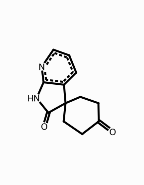 O=C1CCC2(CC1)C(=O)Nc1ncccc12